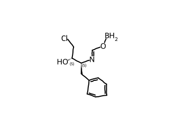 BOC=N[C@@H](Cc1ccccc1)[C@H](O)CCl